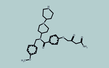 COc1ccc(CN(C(=O)c2ccc(OCC(=O)CC(N)=O)cc2)C2CCN(C3CCNCC3)CC2)cc1